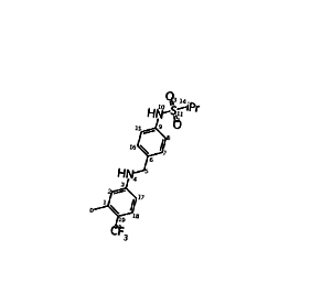 Cc1cc(NCc2ccc(NS(=O)(=O)C(C)C)cc2)ccc1C(F)(F)F